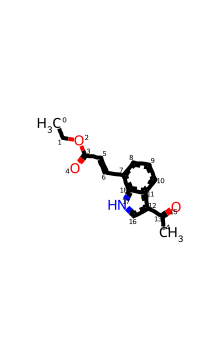 CCOC(=O)C=Cc1cccc2c(C(C)=O)c[nH]c12